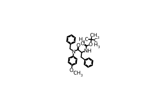 COc1ccc(N(Cc2ccccc2)C(=O)C(Cc2ccccc2)NC(=O)OC(C)(C)C)cc1